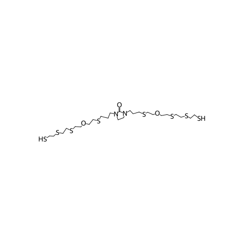 O=C1N(CCCSCCOCCSCCSCCS)CCN1CCCSCCOCCSCCSCCS